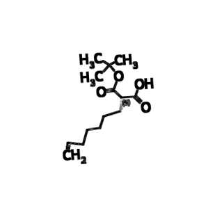 C=CCCCCC[C@@H](C(=O)O)C(=O)OC(C)(C)C